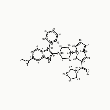 COc1ccc2c(c1)nc(N1CCN([N@@+]34C=CC=C3C=C(C(=O)N3CCSC3)C4)CC1)n2-c1ccccc1